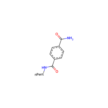 CCCCCNC(=O)c1ccc(C(N)=O)cc1